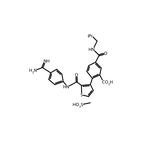 CC(C)CNC(=O)c1ccc(-c2ccsc2C(=O)Nc2ccc(C(=N)N)cc2)c(C(=O)O)c1.CS(=O)(=O)O